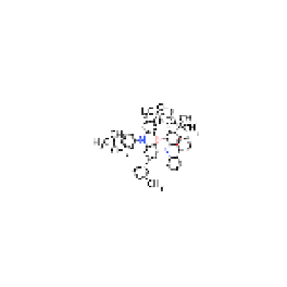 Cc1cccc(-c2cc3c4c(c2)N(c2ccccc2-c2ccccc2)c2ccc(C(C)(C)C)cc2B4c2cc(C(C)(C)C)ccc2N3c2ccc(C(C)(C)C)cc2)c1